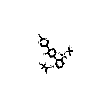 CC(C)(NS(=O)(=O)c1ccccc1-c1ccc(-c2cnc(N)nc2)c(F)c1)C(F)(F)F.O=C(O)C(F)(F)F